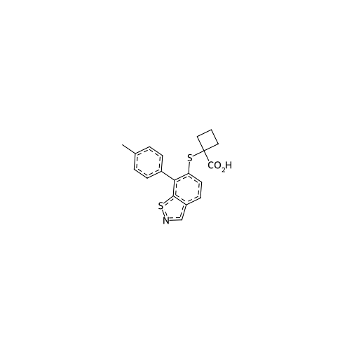 Cc1ccc(-c2c(SC3(C(=O)O)CCC3)ccc3cnsc23)cc1